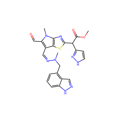 COC(=O)C(c1cc[nH]n1)c1nc2c(s1)c(/C=N\N(C)Cc1cccc3[nH]ncc13)c(C=O)n2C